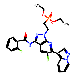 CCOP(=O)(CCn1nc(NC(=O)c2ccccc2F)c2cc(F)c(-c3cnn4ccccc34)nc21)OCC